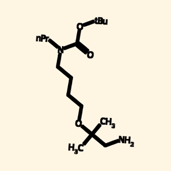 CCCN(CCCCOC(C)(C)CN)C(=O)OC(C)(C)C